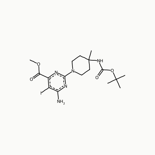 COC(=O)c1nc(N2CCC(C)(NC(=O)OC(C)(C)C)CC2)nc(N)c1I